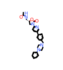 CC(=O)NC[C@H]1CN(c2ccc(-c3ccc(CN4CCN(c5ccccc5)CC4)cc3)cn2)C(=O)O1